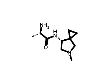 C[C@H](N)C(=O)N[C@H]1CN(C)CC12CC2